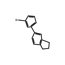 Brc1cccc(-c2ccc3c(c2)CCC3)c1